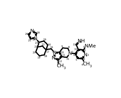 CNc1nc(C)cc(N2CCc3c(c(C)nn3CC34CCCC(C3)C(n3ccnc3)CC4)C2)c1C=N